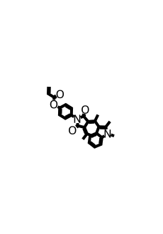 C=CC(=O)Oc1ccc(N2C(=O)C(=C(C)C)/C(=C(/C)c3c(C)n(C)c4ccccc34)C2=O)cc1